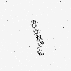 CCCc1ccc(-c2ccc(-c3ncc(C(=O)OCCCC[C@H](C)CC)cn3)cc2)cc1